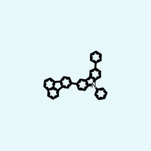 c1ccc(-c2ccc3c(c2)c2cc(-c4ccc5c(c4)-c4cccc6cccc-5c46)ccc2n3-c2ccccc2)cc1